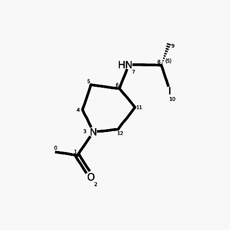 CC(=O)N1CCC(N[C@H](C)I)CC1